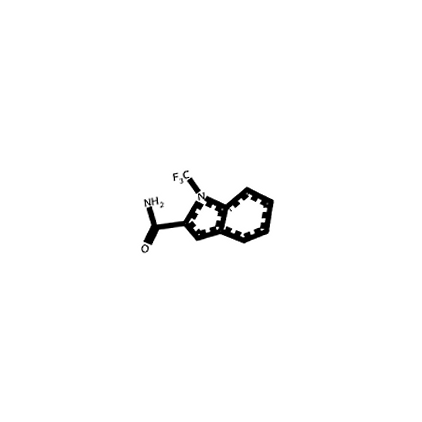 NC(=O)c1cc2ccccc2n1C(F)(F)F